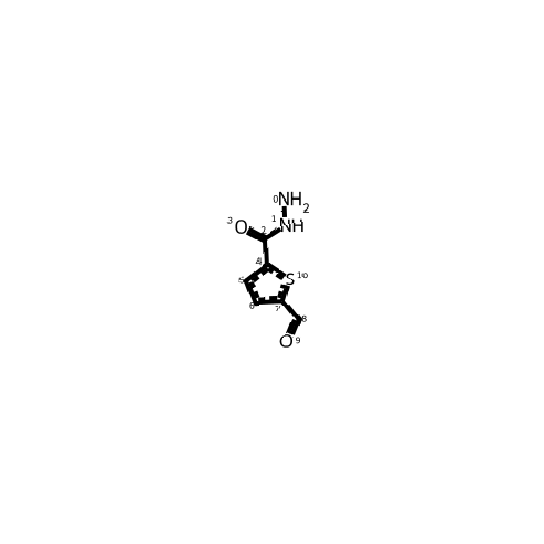 NNC(=O)c1ccc([C]=O)s1